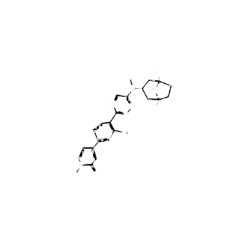 CN(c1cnc(-c2ccc(-c3ccn(C)c(=O)c3)cc2O)nn1)[C@H]1C[C@@H]2CC[C@](C(F)(F)F)(C1)N2